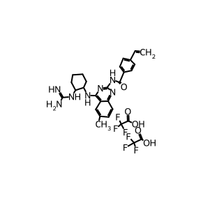 C=Cc1ccc(C(=O)Nc2nc(NC3CCCCC3NC(=N)N)c3cc(C)ccc3n2)cc1.O=C(O)C(F)(F)F.O=C(O)C(F)(F)F